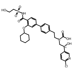 O=C(NS(=O)(=O)CCO)c1ccc(-c2ccc(CCN(C[C@@H](O)c3ccc(Cl)nc3)C(=O)O)cc2)cc1OC1CCCCC1